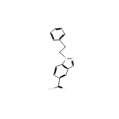 O=C(O)c1ccc2c(cnn2CCc2ccccc2)c1